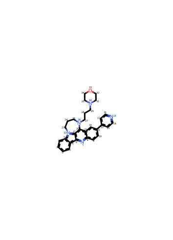 c1ccc2c(c1)c1nc3ccc(-c4ccncc4)cc3c3c1n2CCCN3CCCN1CCOCC1